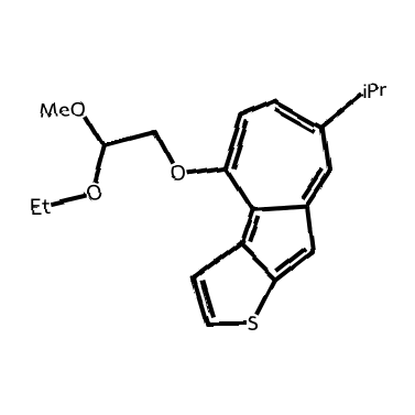 CCOC(COc1ccc(C(C)C)cc2cc3sccc3c1-2)OC